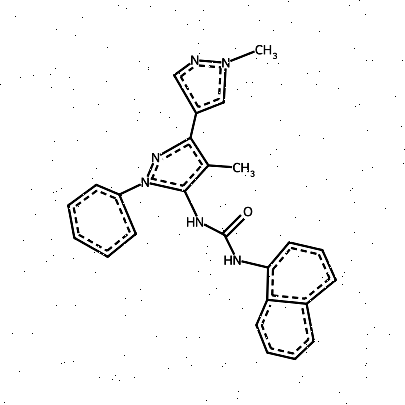 Cc1c(-c2cnn(C)c2)nn(-c2ccccc2)c1NC(=O)Nc1cccc2ccccc12